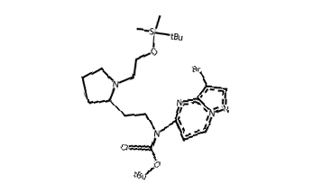 CC(C)(C)OC(=O)N(CCC1CCCN1CCO[Si](C)(C)C(C)(C)C)c1ccn2ncc(Br)c2n1